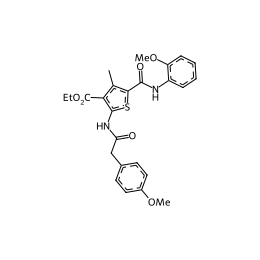 CCOC(=O)c1c(NC(=O)Cc2ccc(OC)cc2)sc(C(=O)Nc2ccccc2OC)c1C